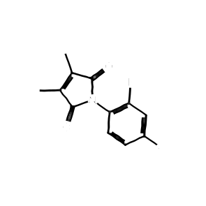 CC1=C(C)C(=O)N(c2ccc(Cl)cc2F)C1=O